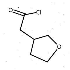 O=C(Cl)CC1CCOC1